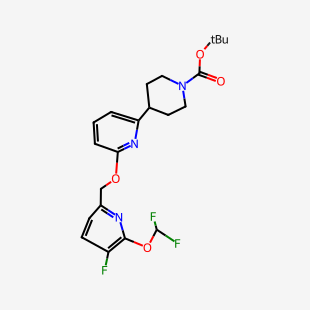 CC(C)(C)OC(=O)N1CCC(c2cccc(OCc3ccc(F)c(OC(F)F)n3)n2)CC1